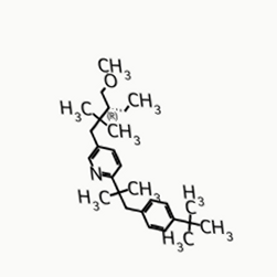 CC[C@@H](COC)C(C)(C)Cc1ccc(C(C)(C)Cc2ccc(C(C)(C)C)cc2)nc1